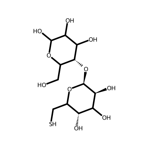 OCC1OC(O)C(O)C(O)[C@@H]1O[C@@H]1OC(CS)[C@@H](O)C(O)[C@@H]1O